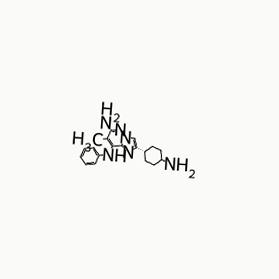 Cc1c(N)nn2cc([C@H]3CC[C@H](N)CC3)nc2c1Nc1ccccc1